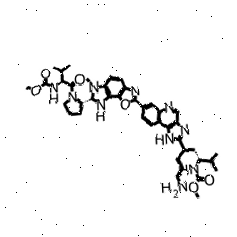 COC(=O)N[C@H](C(=O)N1CCC[C@H]1C1Nc2c(ccc3nc(-c4ccc5c(c4)ncc4nc(C(CCCN)C[C@@H](NC(=O)OC)C(C)C)[nH]c45)oc23)N1C)C(C)C